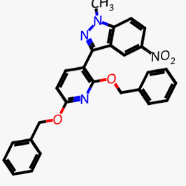 Cn1nc(-c2ccc(OCc3ccccc3)nc2OCc2ccccc2)c2cc([N+](=O)[O-])ccc21